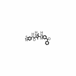 Cc1[nH]c(C(=O)Nc2ccc3ncsc3c2)c(C)c1-c1nc2cc(C(=O)c3ccccc3)ccc2[nH]1